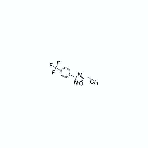 OCc1nc(-c2ccc(C(F)(F)F)cc2)no1